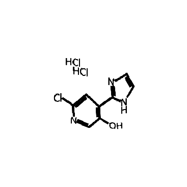 Cl.Cl.Oc1cnc(Cl)cc1-c1ncc[nH]1